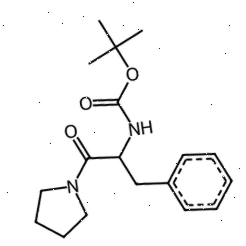 CC(C)(C)OC(=O)NC(Cc1ccccc1)C(=O)N1CCCC1